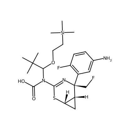 CC(C)(C)C(OCC[Si](C)(C)C)N(C(=O)O)C1=N[C@](CF)(c2cc(N)ccc2F)[C@@H]2C[C@@H]2S1